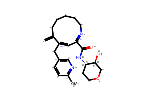 C=C1CCCCC/N=C(C(=O)N[C@H]2CCOC[C@@H]2O)\C=C/1Cc1ccc(OC)nc1